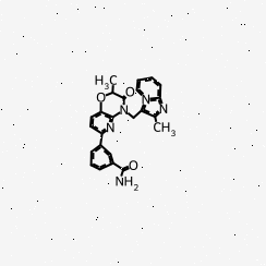 Cc1nc2ccccn2c1CN1C(=O)C(C)Oc2ccc(-c3cccc(C(N)=O)c3)nc21